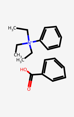 CC[N+](CC)(CC)c1ccccc1.O=C(O)c1ccccc1